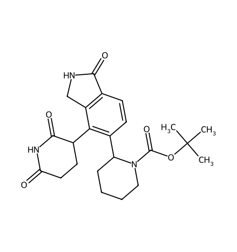 CC(C)(C)OC(=O)N1CCCCC1c1ccc2c(c1C1CCC(=O)NC1=O)CNC2=O